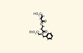 CCOC(=O)CN(Cc1ccccc1)C(=O)CCOC(=O)/C=C/C(=O)O